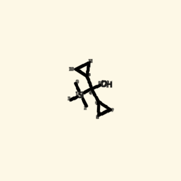 C[Si](C)(C)C(O)(C1CC1)C1CC1